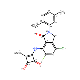 COc1c(Nc2c(F)cc(Cl)c3c2C(=O)N(c2cc(C)ccc2C(=O)O)C3)c(=O)c1=O